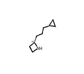 C(CC1CC1)C[C@@H]1CCN1